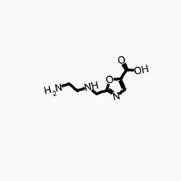 NCCNCc1ncc(C(=O)O)o1